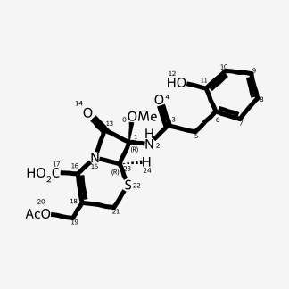 CO[C@]1(NC(=O)Cc2ccccc2O)C(=O)N2C(C(=O)O)=C(COC(C)=O)CS[C@@H]21